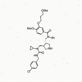 COCCCOc1cc(C(=O)N(C[C@@H]2CNC[C@H]2CN(C(=O)NCc2ccc(Cl)cc2)C2CC2)C(C)C)ccc1OC